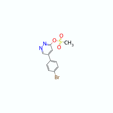 CS(=O)(=O)Oc1cc(-c2ccc(Br)cc2)cnn1